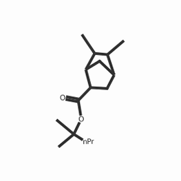 CCCC(C)(C)OC(=O)C1CC2CC1C(C)C2C